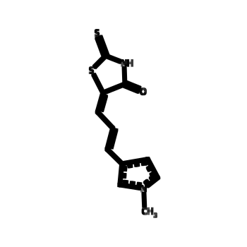 Cn1ccc(C=CC=C2SC(=S)NC2=O)c1